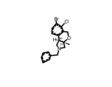 C[C@@]12CN(Cc3ccccc3)C[C@H]1c1ccc(Br)c(Cl)c1CO2